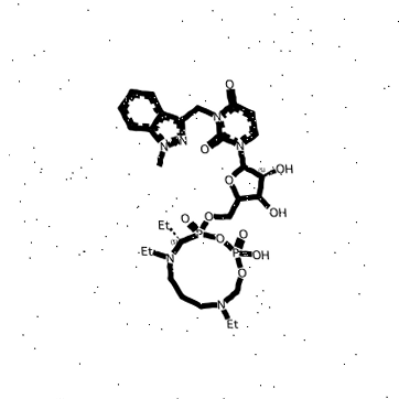 CC[C@H]1N(CC)CCCN(CC)COP(=O)(O)OP1(=O)OCC1OC(n2ccc(=O)n(Cc3nn(C)c4ccccc34)c2=O)[C@@H](O)C1O